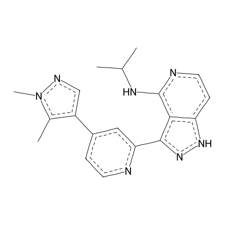 Cc1c(-c2ccnc(-c3n[nH]c4ccnc(NC(C)C)c34)c2)cnn1C